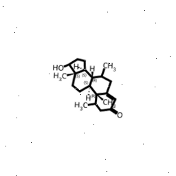 CC1CC2=CC(=O)CC(C)[C@]2(C)[C@H]2CC[C@]3(C)C(O)CC[C@H]3[C@H]12